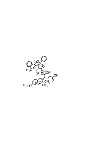 COc1ccc(CN([C@@H](CCC(=O)O)C(=O)O)C(C)(C)C)cc1.Cc1ccccc1S(=O)(=O)N([C@@H](CS)C(=O)O)S(=O)(=O)c1ccccc1